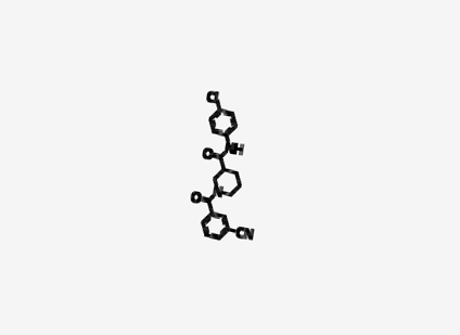 N#Cc1cccc(C(=O)N2CCCC(C(=O)Nc3ccc(Cl)cc3)C2)c1